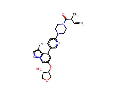 C=CC(C)C(=O)N1CCN(c2ccc(-c3cc(OC4COC[C@@H]4O)cn4ncc(C#N)c34)cn2)CC1